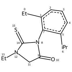 CCc1cccc(C(C)C)c1N1C(=O)CN(CC)C1=S